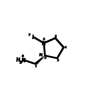 NC[C@H]1CCCN1I